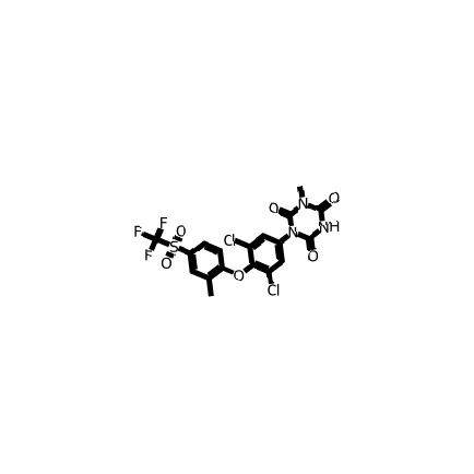 Cc1cc(S(=O)(=O)C(F)(F)F)ccc1Oc1c(Cl)cc(-n2c(=O)[nH]c(=O)n(C)c2=O)cc1Cl